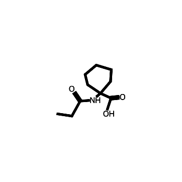 CCC(=O)NC1(C(=O)O)CCCCC1